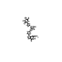 Nc1nc2c(ncn2[C@H]2CC[C@@H](COP(O)(=S)OC[C@@H]3CC[C@H](n4cc(F)c(=O)[nH]c4=O)O3)O2)c(=S)[nH]1